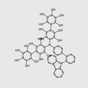 Oc1c(O)c(O)c(-c2c(O)c(O)c(N(c3ccc(-c4ccccc4-n4c5ccccc5c5ccccc54)cc3)c3c(O)c(O)c(-c4c(O)c(O)c(O)c(O)c4O)c(O)c3O)c(O)c2O)c(O)c1O